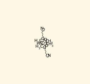 CC1=C(C(=O)OCCCCc2cccnc2)C(C(C)C)C(C(=O)OCCCCc2cccnc2)=C(C)N1